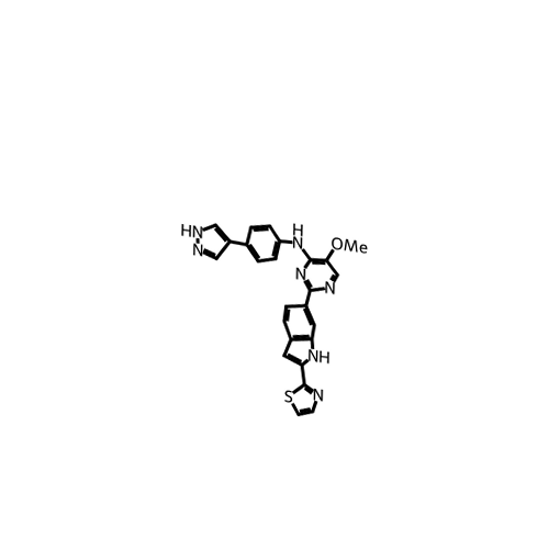 COc1cnc(-c2ccc3cc(-c4nccs4)[nH]c3c2)nc1Nc1ccc(-c2cn[nH]c2)cc1